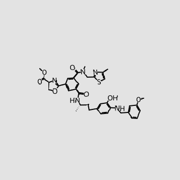 COC(=O)C1COC(c2cc(C(=O)N[C@@H](C)CCc3ccc(NCc4cccc(OC)c4)c(O)c3)cc(C(=O)N(C)Cc3nc(C)cs3)c2)=N1